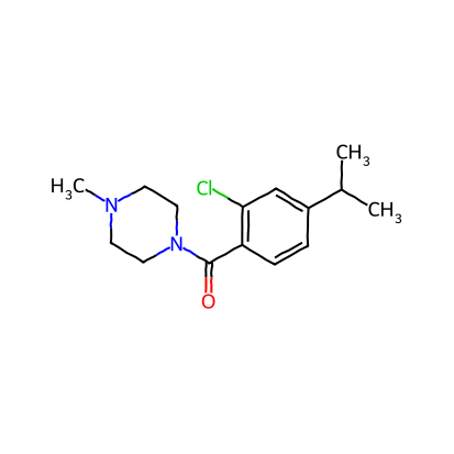 CC(C)c1ccc(C(=O)N2CCN(C)CC2)c(Cl)c1